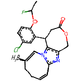 B/C1=C/n2c(nc3c2C(c2cc(Cl)ccc2OC(C)F)CC(=O)OC3)/C=C\CC1